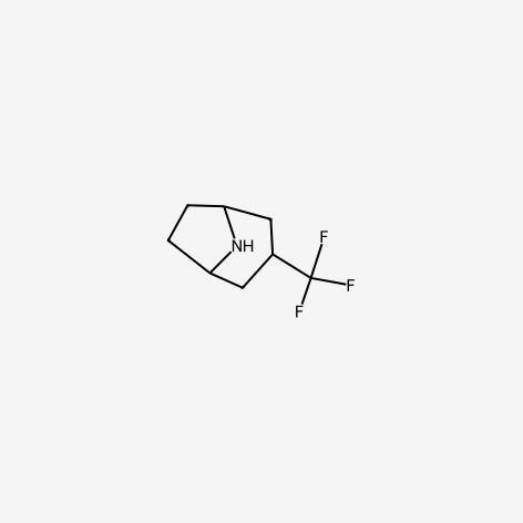 FC(F)(F)C1CC2CCC(C1)N2